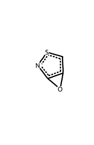 c1snc2c1O2